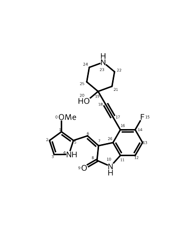 COc1cc[nH]c1C=C1C(=O)Nc2ccc(F)c(C#CC3(O)CCNCC3)c21